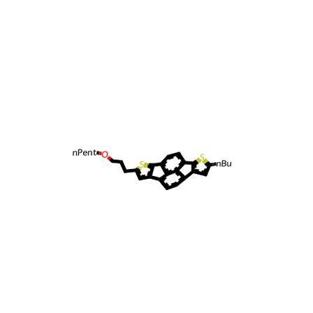 CCCCCOCCCc1cc2c(s1)-c1ccc3c4c(ccc-2c14)-c1cc(CCCC)sc1-3